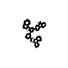 CC1(C)c2ccccc2-c2ccc(-c3cc(-c4cccc(-c5cnc6c7ccccc7c7ccccc7c6n5)c4)c4oc5ccc6ccccc6c5c4c3)cc21